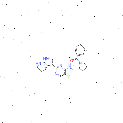 O=C(C1=CCCC=C1)N1CCC[C@@H]1CNc1nc(C2=CNC3NCCC=C23)ncc1F